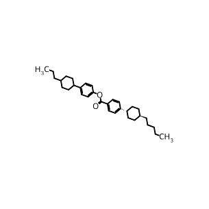 CCCCC[C@H]1CC[C@H](c2ccc(C(=O)Oc3ccc(C4CCC(CCC)CC4)cc3)cc2)CC1